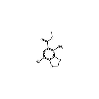 COC(=O)c1cc(O)c2c(c1N)OCO2